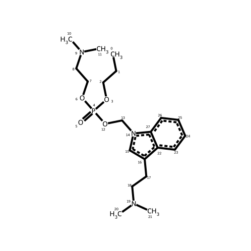 CCCOP(=O)(OCCN(C)C)OCn1cc(CCN(C)C)c2ccccc21